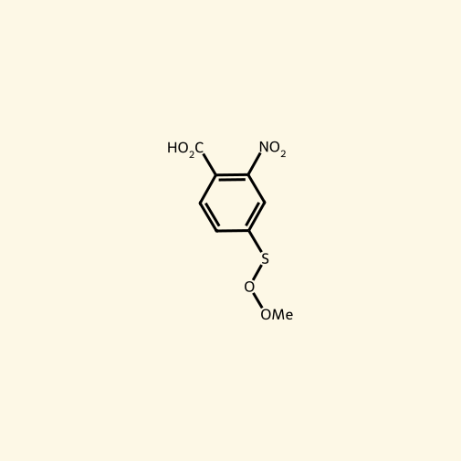 COOSc1ccc(C(=O)O)c([N+](=O)[O-])c1